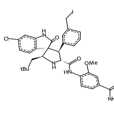 COc1cc(C(N)=O)ccc1NC(=O)[C@@H]1N[C@@H](CC(C)(C)C)[C@@]2(C(=O)Nc3cc(Cl)ccc32)[C@H]1c1cccc(CI)c1